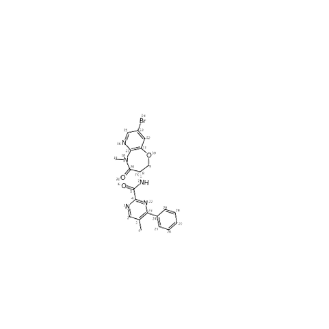 Cc1cnc(C(=O)N[C@H]2COc3cc(Br)cnc3N(C)C2=O)nc1-c1ccccc1